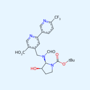 CC(C)(C)OC(=O)N1CC[C@@H](O)[C@H]1N(C=O)Cc1cc(-c2ccc(C(F)(F)F)nc2)ncc1C(=O)O